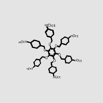 CCCCCCCCC1CCC(COc2c(OCC3CCC(CCCCCCCC)CC3)c(OCC3CCC(CCCCCCCC)CC3)c(OCC3CCC(CCCCCCCC)CC3)c(OCC3CCC(CCCCCCCC)CC3)c2OCC2CCC(CCCCCCCC)CC2)CC1